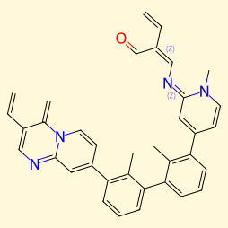 C=CC1=CN=C2C=C(c3cccc(-c4cccc(-c5ccn(C)/c(=N\C=C(\C=C)C=O)c5)c4C)c3C)C=CN2C1=C